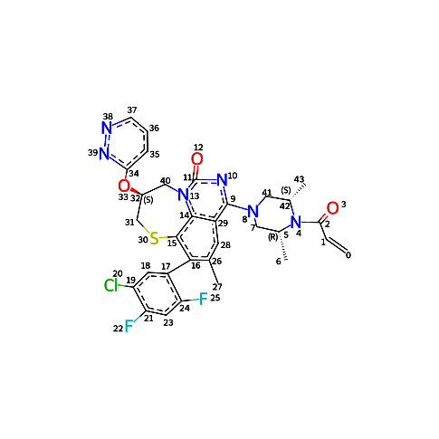 C=CC(=O)N1[C@H](C)CN(c2nc(=O)n3c4c(c(-c5cc(Cl)c(F)cc5F)c(C)cc24)SC[C@@H](Oc2cccnn2)C3)C[C@@H]1C